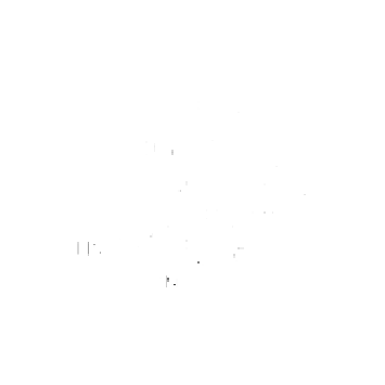 Cc1ncc(CS)c(COC(=O)c2ccccc2)c1OC(=O)c1ccccc1